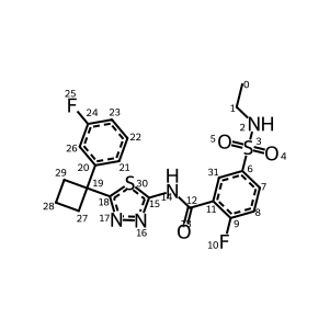 CCNS(=O)(=O)c1ccc(F)c(C(=O)Nc2nnc(C3(c4cccc(F)c4)CCC3)s2)c1